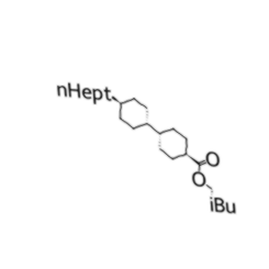 CCCCCCC[C@H]1CC[C@H]([C@H]2CC[C@H](C(=O)OC[C@@H](C)CC)CC2)CC1